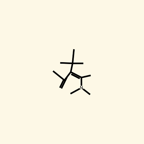 C=C(C)/C(=C(/C)N(C)C)C(C)(C)C